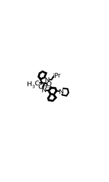 CC(C)CN1c2ccccc2C(C)(C)C12C=Nc1c(cc(N3CCCCC3)c3ccccc13)O2